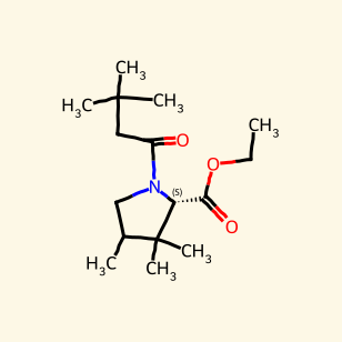 CCOC(=O)[C@H]1N(C(=O)CC(C)(C)C)CC(C)C1(C)C